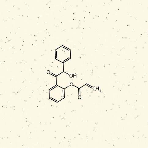 C=CC(=O)Oc1ccccc1C(=O)C(O)c1ccccc1